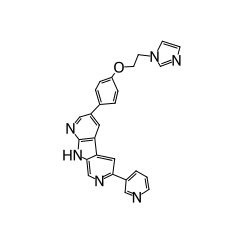 c1cncc(-c2cc3c(cn2)[nH]c2ncc(-c4ccc(OCCn5ccnc5)cc4)cc23)c1